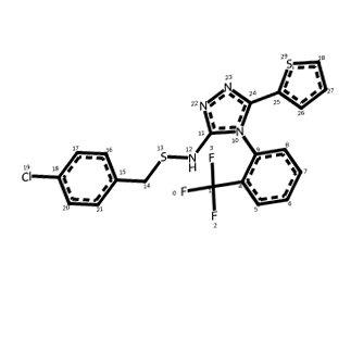 FC(F)(F)c1ccccc1-n1c(NSCc2ccc(Cl)cc2)nnc1-c1cccs1